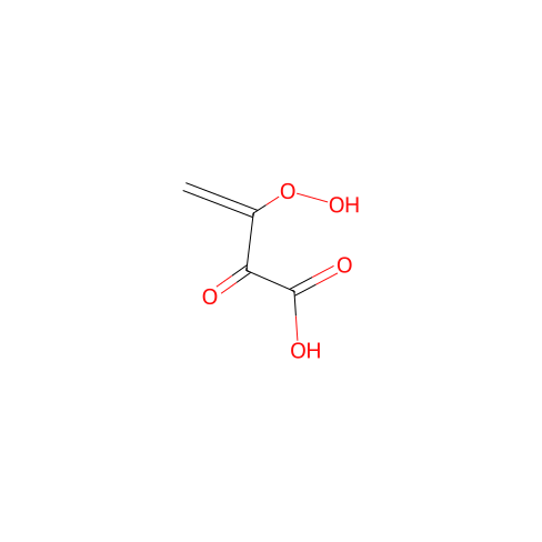 C=C(OO)C(=O)C(=O)O